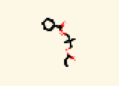 C=CC(=O)OCC(C)(C)COC(=O)c1ccccc1